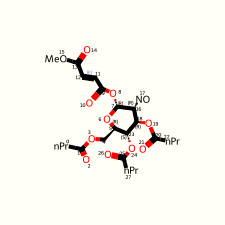 CCCC(=O)OC[C@H]1O[C@H](OC(=O)/C=C/C(=O)OC)[C@H](N=O)[C@@H](OC(=O)CCC)[C@@H]1OC(=O)CCC